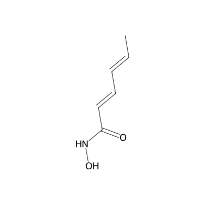 C/C=C/C=C/C(=O)NO